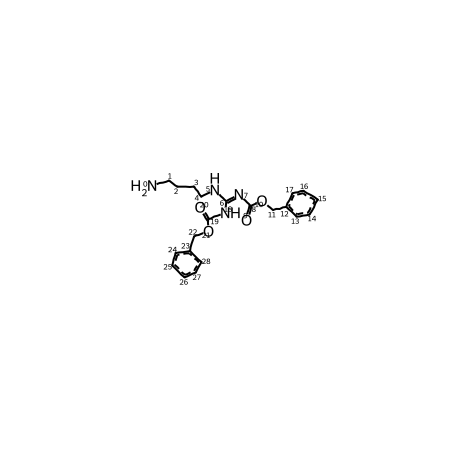 NCCCCN/C(=N/C(=O)OCc1ccccc1)NC(=O)OCc1ccccc1